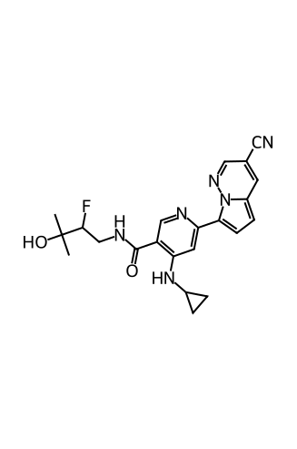 CC(C)(O)C(F)CNC(=O)c1cnc(-c2ccc3cc(C#N)cnn23)cc1NC1CC1